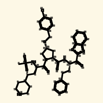 CS(=O)(=O)N[C@H](CCC1CCNCC1)C(=O)N1C[C@H](OCc2ccc(Cl)cc2)C[C@H]1C(=O)N[C@@H](CCc1ccccc1)C(=O)c1nc2ccccc2o1